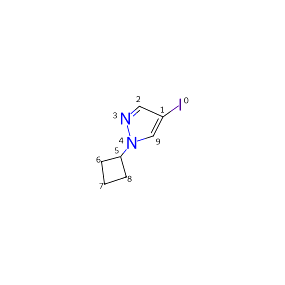 Ic1cnn(C2CCC2)c1